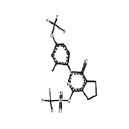 Cc1cc(OC(F)(F)F)ccc1-n1nc(OS(=O)(=O)C(F)(F)F)c2c(c1=O)CCC2